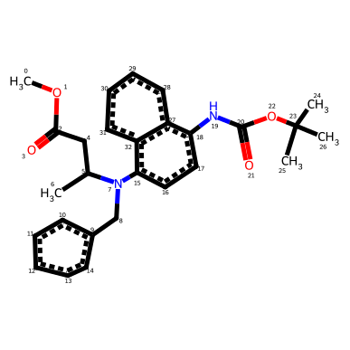 COC(=O)CC(C)N(Cc1ccccc1)c1ccc(NC(=O)OC(C)(C)C)c2ccccc12